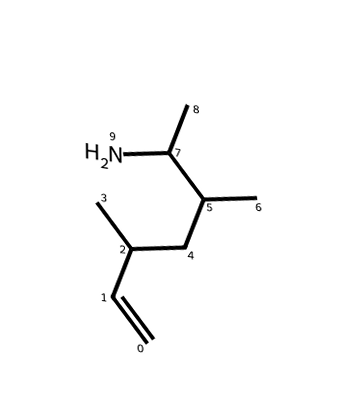 C=CC(C)CC(C)C(C)N